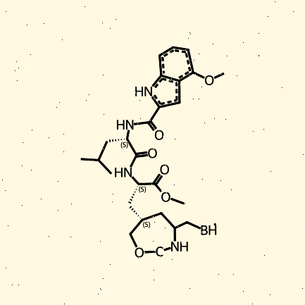 CBCC1C[C@@H](C[C@H](NC(=O)[C@H](CC(C)C)NC(=O)c2cc3c(OC)cccc3[nH]2)C(=O)OC)COCN1